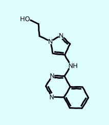 OCCn1cc(Nc2ncnc3ccccc23)cn1